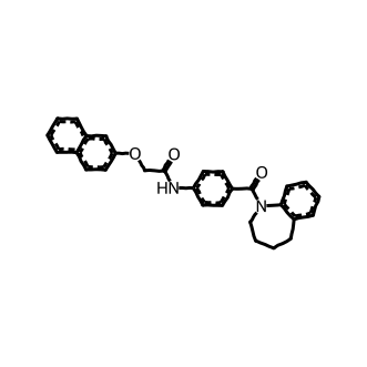 O=C(COc1ccc2ccccc2c1)Nc1ccc(C(=O)N2CCCCc3ccccc32)cc1